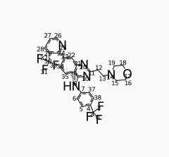 FC(F)(F)c1ccc(Nc2nc(CCN3CCOCC3)nc3cc(-c4ncccc4C(F)(F)F)ccc23)cc1